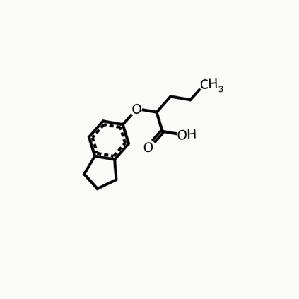 CCCC(Oc1ccc2c(c1)CCC2)C(=O)O